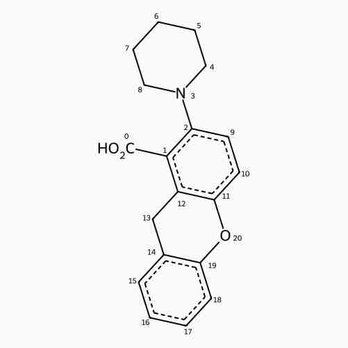 O=C(O)c1c(N2CCCCC2)ccc2c1Cc1ccccc1O2